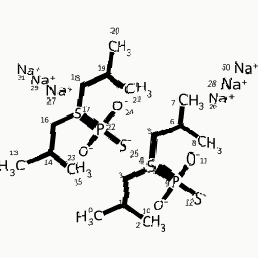 CC(C)CS(CC(C)C)=P([O-])([O-])[S-].CC(C)CS(CC(C)C)=P([O-])([O-])[S-].[Na+].[Na+].[Na+].[Na+].[Na+].[Na+]